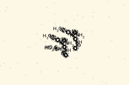 CC(=O)O.CC(=O)O.CN1CCN([C@H]2CC[C@@H](n3nc(-c4ccc(NCC(=O)c5ccccc5)cc4)c4c(N)ncnc43)CC2)CC1.CN1CCN([C@H]2CC[C@H](n3nc(-c4ccc(NC5COc6ccccc65)cc4)c4c(N)ncnc43)CC2)CC1